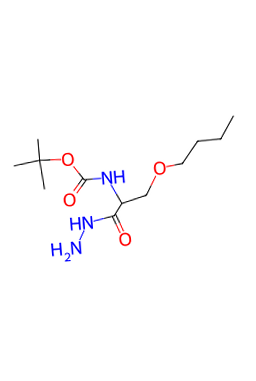 CCCCOCC(NC(=O)OC(C)(C)C)C(=O)NN